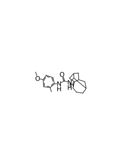 COc1ccc(NC(=O)NC2C3CCC[C@@H]4CC2CC4C3)c(C)c1